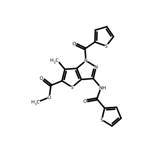 COC(=O)c1sc2c(NC(=O)c3cccs3)nn(C(=O)c3cccs3)c2c1C